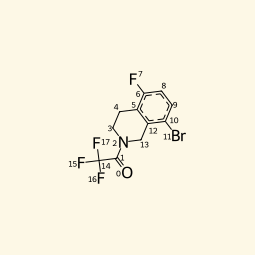 O=C(N1CCc2c(F)ccc(Br)c2C1)C(F)(F)F